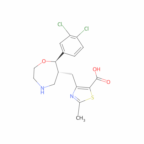 Cc1nc(C[C@@H]2CNCCO[C@H]2c2ccc(Cl)c(Cl)c2)c(C(=O)O)s1